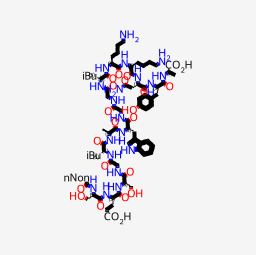 CCCCCCCCCC(=O)N[C@@H](CO)C(=O)N[C@@H](CCC(=O)O)C(=O)N[C@@H](CO)C(=O)NCC(=O)N[C@H](C(=O)N[C@@H](C)C(=O)N[C@@H](Cc1c[nH]c2ccccc12)C(=O)NCC(=O)NCC(=O)N[C@H](C(=O)N[C@@H](CCCCN)C(=O)N[C@@H](CCCCN)C(=O)N[C@@H](CC(N)=O)C(=O)N[C@@H](Cc1ccc(O)cc1)C(=O)N[C@@H](C)C(=O)O)[C@@H](C)CC)[C@@H](C)CC